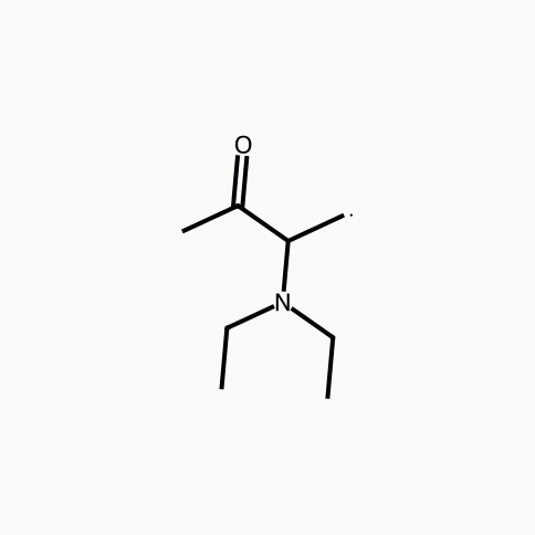 [CH2]C(C(C)=O)N(CC)CC